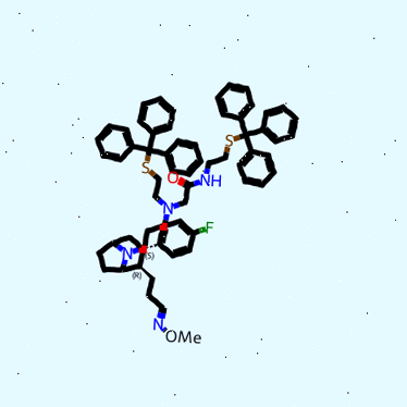 CON=CCC[C@H]1C2CCC(C[C@@H]1c1ccc(F)cc1)N2CCCN(CCSC(c1ccccc1)(c1ccccc1)c1ccccc1)CC(=O)NCCSC(c1ccccc1)(c1ccccc1)c1ccccc1